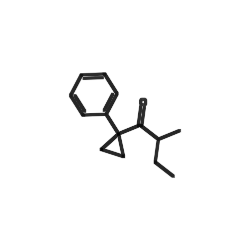 CCC(C)C(=O)C1(c2ccccc2)CC1